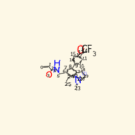 C=CC(=O)NCc1cc(-c2ccc(OC(F)(F)F)cc2)c(/C=C\C)c(N=C)c1C